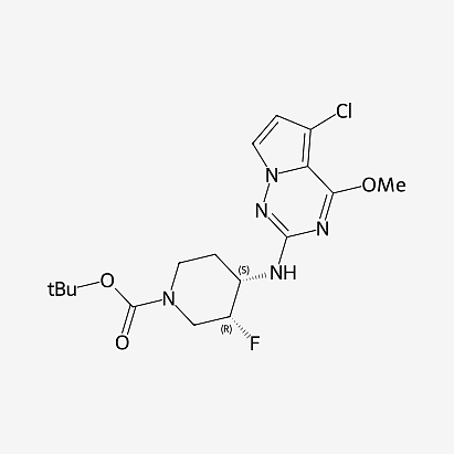 COc1nc(N[C@H]2CCN(C(=O)OC(C)(C)C)C[C@H]2F)nn2ccc(Cl)c12